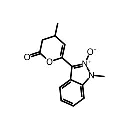 CC1C=C(c2c3ccccc3n(C)[n+]2[O-])OC(=O)C1